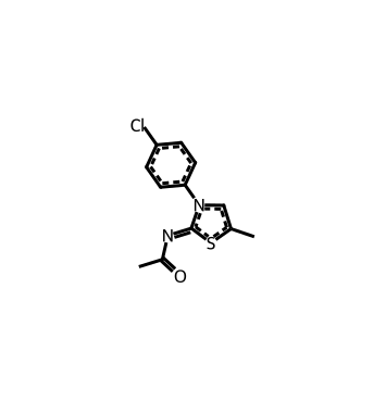 CC(=O)N=c1sc(C)cn1-c1ccc(Cl)cc1